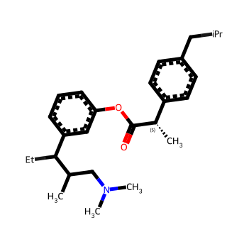 CCC(c1cccc(OC(=O)[C@@H](C)c2ccc(CC(C)C)cc2)c1)C(C)CN(C)C